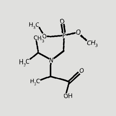 COP(=O)(CN(C(C)C)C(C)C(=O)O)OC